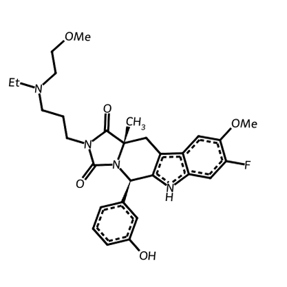 CCN(CCCN1C(=O)N2[C@H](c3cccc(O)c3)c3[nH]c4cc(F)c(OC)cc4c3C[C@@]2(C)C1=O)CCOC